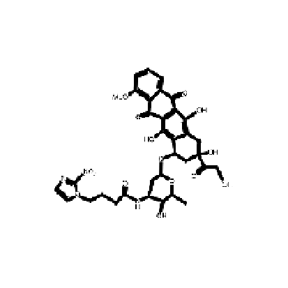 COc1cccc2c1C(=O)c1c(O)c3c(c(O)c1C2=O)CC(O)(C(=O)CO)CC3OC1CC(NC(=O)CCCn2ccnc2[N+](=O)[O-])C(O)C(C)O1